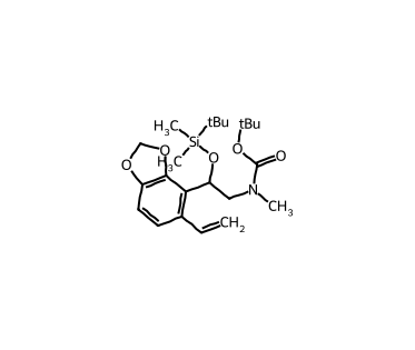 C=Cc1ccc2c(c1C(CN(C)C(=O)OC(C)(C)C)O[Si](C)(C)C(C)(C)C)OCO2